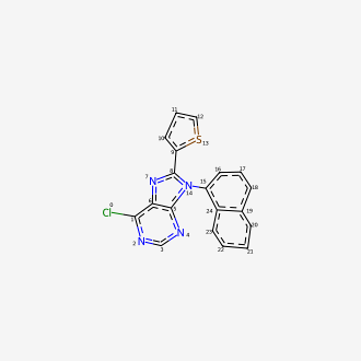 Clc1ncnc2c1nc(-c1cccs1)n2-c1cccc2ccccc12